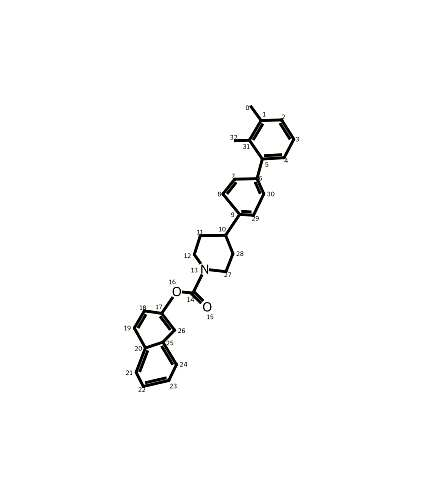 Cc1cccc(-c2ccc(C3CCN(C(=O)Oc4ccc5ccccc5c4)CC3)cc2)c1C